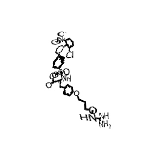 N=C(N)NOCCCOc1ccc(C[C@H](NS(=O)(=O)c2ccc(Oc3c(Cl)cccc3[N+](=O)[O-])cc2)C(=O)O)cc1